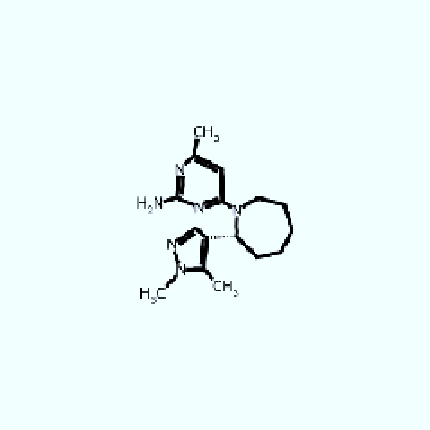 Cc1cc(N2CCCCC[C@@H]2c2cnn(C)c2C)nc(N)n1